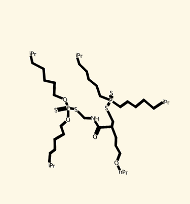 CCCOCCCC(CSP(=S)(CCCCCC(C)C)CCCCCC(C)C)C(=O)NCSP(=S)(OCCCCCC(C)C)OCCCCCC(C)C